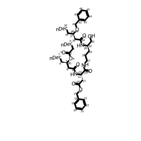 CCCCCCCCCCCC(=O)O[C@H](CCCCCCCCCCC)CC(=O)N[C@@H](CC(=O)OCc1ccccc1)C(=O)NCCC[C@H](CO)NC(=O)C[C@@H](CCCCCCCCCCC)OCc1ccccc1